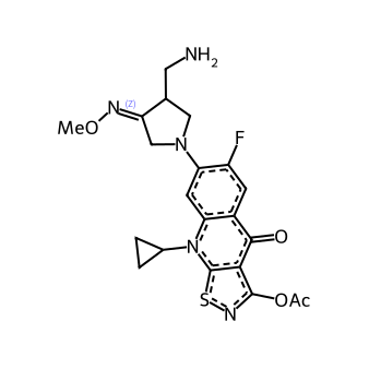 CO/N=C1\CN(c2cc3c(cc2F)c(=O)c2c(OC(C)=O)nsc2n3C2CC2)CC1CN